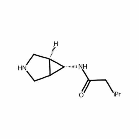 CC(C)CC(=O)N[C@@H]1C2CNC[C@H]21